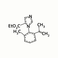 C=C(C)c1cccc(C)c1-n1cncc1C(=O)OCC